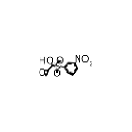 O=[N+]([O-])c1cccc(S(=O)(=O)[C@H](O)C2CO2)c1